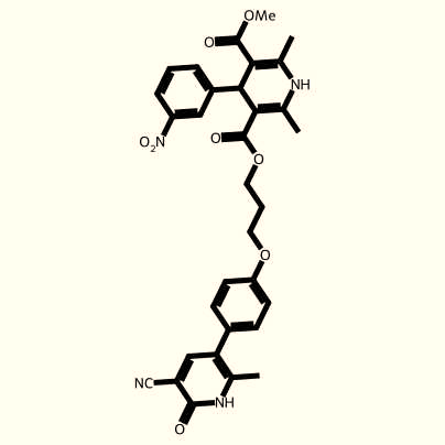 COC(=O)C1=C(C)NC(C)=C(C(=O)OCCCOc2ccc(-c3cc(C#N)c(=O)[nH]c3C)cc2)C1c1cccc([N+](=O)[O-])c1